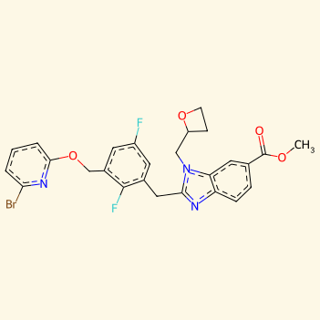 COC(=O)c1ccc2nc(Cc3cc(F)cc(COc4cccc(Br)n4)c3F)n(CC3CCO3)c2c1